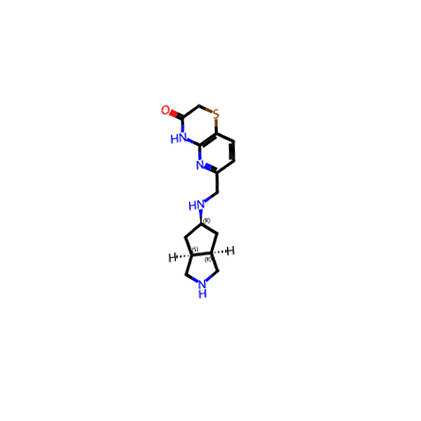 O=C1CSc2ccc(CN[C@H]3C[C@H]4CNC[C@H]4C3)nc2N1